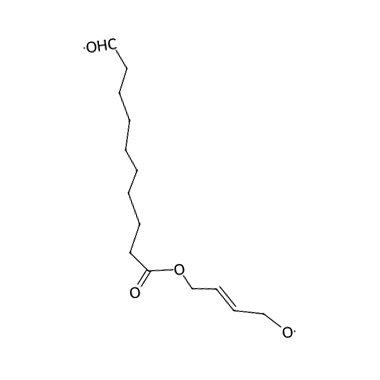 [O]CC=CCOC(=O)CCCCCCCC[C]=O